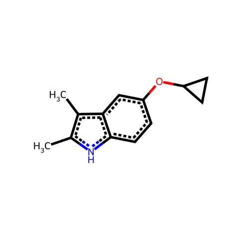 Cc1[nH]c2ccc(OC3CC3)cc2c1C